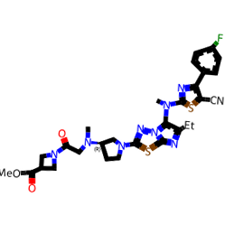 CCc1nc2sc(N3CC[C@@H](N(C)CC(=O)N4CC(C(=O)OC)C4)C3)nn2c1N(C)c1nc(-c2ccc(F)cc2)c(C#N)s1